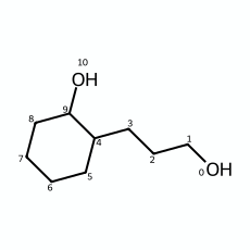 OCCCC1CCCCC1O